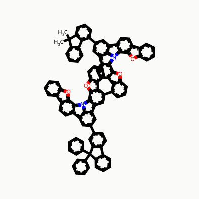 CC1(C)c2ccccc2-c2c(-c3cc4c5ccc6c7ccccc7oc6c5n5c4c(c3)c3ccc4c(oc6cccc(-c7cc8c9cc(-c%10ccc%11c(c%10)C(c%10ccccc%10)(c%10ccccc%10)c%10ccccc%10-%11)cc%10c%11ccc%12c%13ccccc%13oc%12c%11n(c%109)c8c8oc9ccccc9c78)c64)c35)cccc21